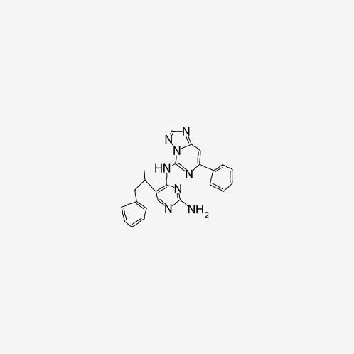 CC(Cc1ccccc1)c1cnc(N)nc1Nc1nc(-c2ccccc2)cc2ncnn12